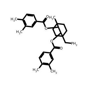 Cc1ccc(C(=O)OC2C(OC(=O)c3ccc(C)c(C)c3)C3(CP)CCC2(C)CC3)cc1C